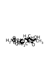 C[C@@H](O)[C@H]1C(=O)N2C(C(=O)O)=C(CN3CC[C@H](C(=O)NS(N)(=O)=O)C3)[C@H](C)[C@H]12